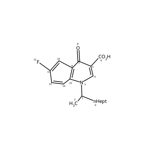 CCCCCCCC(C)n1cc(C(=O)O)c(=O)c2cc(F)ccc21